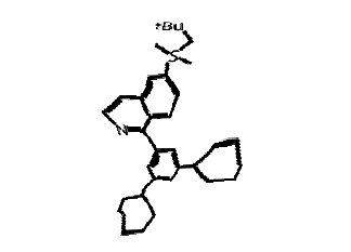 CC(C)(C)CS(C)(C)c1ccc2c(-c3cc(C4CCCCC4)cc(C4CCCCC4)c3)nccc2c1